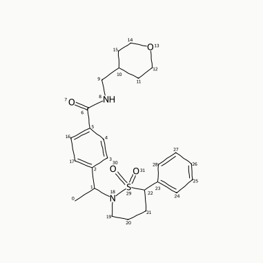 CC(c1ccc(C(=O)NCC2CCOCC2)cc1)N1CCCC(c2ccccc2)S1(=O)=O